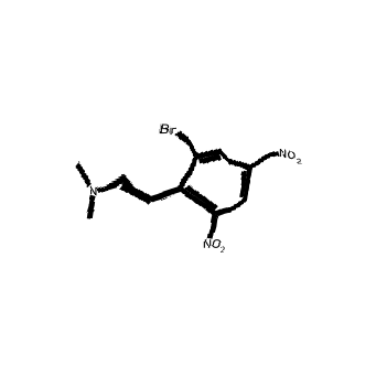 CN(C)C=Cc1c(Br)cc([N+](=O)[O-])cc1[N+](=O)[O-]